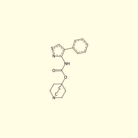 O=C(Nc1nscc1-c1ccccc1)OC12CCN(CC1)CC2